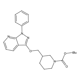 CC(C)(C)OC(=O)N1CCCC(COc2nn(-c3ccccc3)c3ncccc23)C1